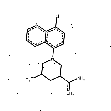 C=C(N)C1CC(C)CN(c2ccc(Cl)c3ncccc23)C1